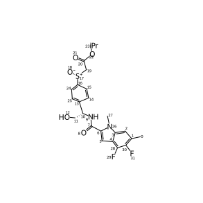 Cc1cc2c(cc(C(=O)N[C@H](CO)c3ccc([S@+]([O-])CC(=O)OC(C)C)cc3)n2C)c(F)c1F